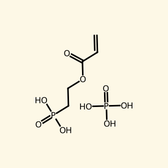 C=CC(=O)OCCP(=O)(O)O.O=P(O)(O)O